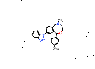 COc1ccc(C2OCCN(C)Cc3ccc(-n4nnc5ccccc54)cc32)cc1